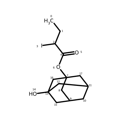 CCC(I)C(=O)OC12CC3CC(CC(O)(C3)C1)C2